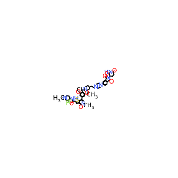 COc1cc(-c2cn(C)c(=O)c3cc(C(=O)NC4CCN(C)CC4(F)F)sc23)cc(OC)c1CN1CCC(CCN2CCN(c3ccc4c(c3)C(=O)N(C3CCC(=O)NC3=O)C4=O)CC2)CC1